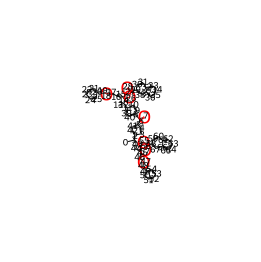 CC(c1ccc(C(=O)c2ccc(C(C)C(CCCOCc3ccccc3)OC(=O)c3ccc4ccccc4c3)cc2)cc1)C(CCCOCc1ccccc1)OC(=O)c1ccc2ccccc2c1